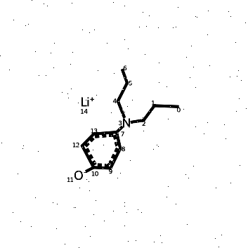 CCCN(CCC)c1ccc([O-])cc1.[Li+]